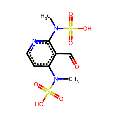 CN(c1ccnc(N(C)S(=O)(=O)O)c1C=O)S(=O)(=O)O